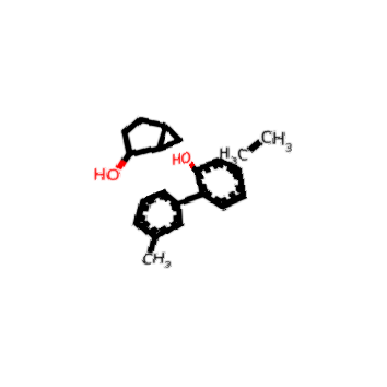 CC.Cc1cccc(-c2ccccc2O)c1.OC1CCC2CC12